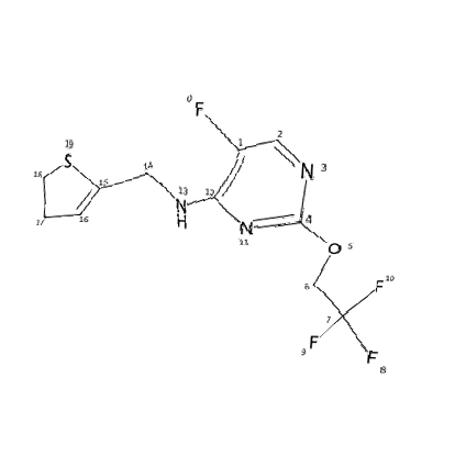 Fc1cnc(OCC(F)(F)F)nc1NCC1=CCCS1